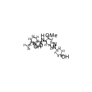 COc1cc2nn([C@H]3CC[C@@H](O)CC3)cc2cc1NC(=O)c1cccc(C2CC2)[n+]1O